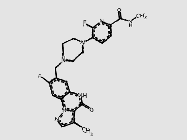 CNC(=O)c1ccc(N2CCN(Cc3cc4[nH]c(=O)c5c(C)cnn5c4cc3F)CC2)c(F)n1